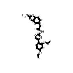 CCOc1ccc(-c2csc(NC(=O)Cc3ccc4nc(N)sc4c3)n2)c(OCC)c1